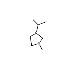 CC(C)N1CCN(C)C1